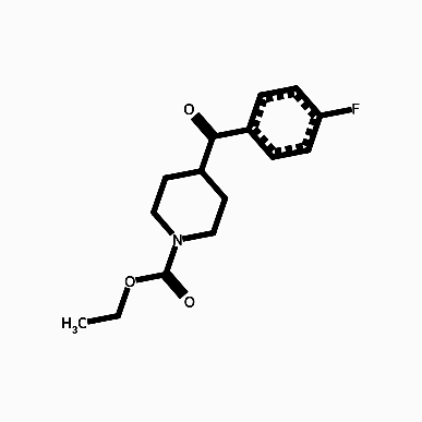 CCOC(=O)N1CCC(C(=O)c2ccc(F)cc2)CC1